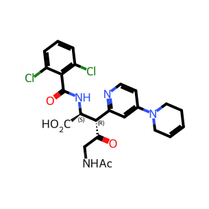 CC(=O)NCC(=O)[C@@H](c1cc(N2CC=CCC2)ccn1)[C@H](NC(=O)c1c(Cl)cccc1Cl)C(=O)O